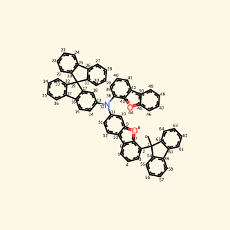 CC1(c2cccc3c2oc2cc(N(c4ccc5c(c4)C4(c6ccccc6-c6ccccc64)c4ccccc4-5)c4cccc5c4oc4ccccc45)ccc23)c2ccccc2-c2ccccc21